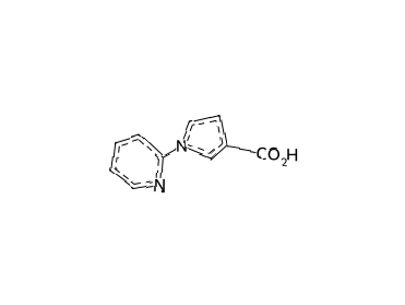 O=C(O)c1ccn(-c2ccccn2)c1